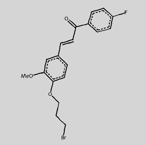 COc1cc(C=CC(=O)c2ccc(F)cc2)ccc1OCCCBr